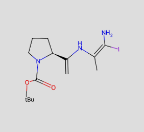 C=C(N/C(C)=C(\N)I)[C@@H]1CCCN1C(=O)OC(C)(C)C